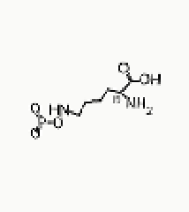 N[C@@H](CCCCNOP(=O)=O)C(=O)O